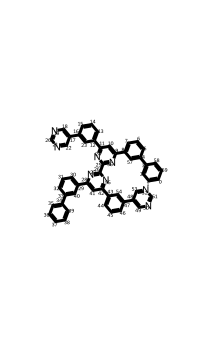 c1ccc(-c2cccc(-c3cc(-c4cccc(-c5cncnc5)c4)nc(-c4nc(-c5cccc(-c6ccccc6)c5)cc(-c5cccc(-c6cncnc6)c5)n4)n3)c2)cc1